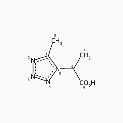 Cc1nnnn1C(C)C(=O)O